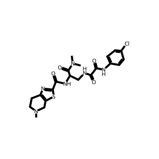 CN1CCc2nc(C(=O)NC(CNC(=O)C(=O)Nc3ccc(Cl)cc3)C(=O)N(C)C)sc2C1